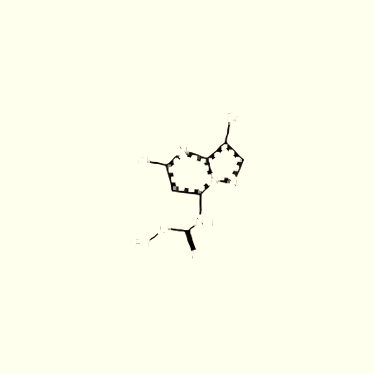 CC(C)(C)OC(=O)Nc1cc(Cl)nc2c(Br)cnn12